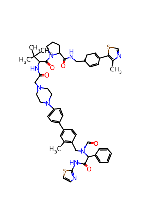 Cc1cc(-c2ccc(N3CCN(CC(=O)NC(C(=O)N4CCCC4C(=O)NCC4C=CC(c5scnc5C)=CC4)C(C)(C)C)CC3)cc2)ccc1CN(C=O)C(C(=O)Nc1nccs1)c1ccccc1